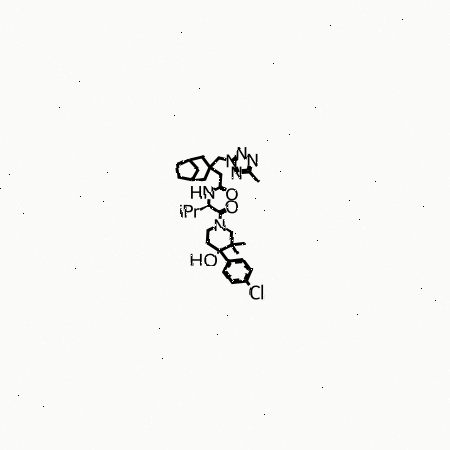 Cc1nnn(CC2(CC(=O)N[C@@H](C(=O)N3CC[C@](O)(c4ccc(Cl)cc4)C(C)(C)C3)C(C)C)CC3CCC(C3)C2)n1